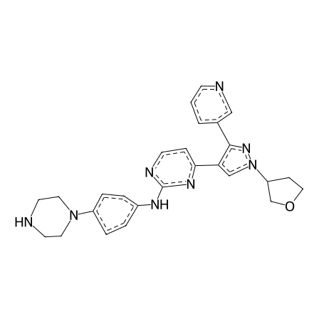 c1cncc(-c2nn(C3CCOC3)cc2-c2ccnc(Nc3ccc(N4CCNCC4)cc3)n2)c1